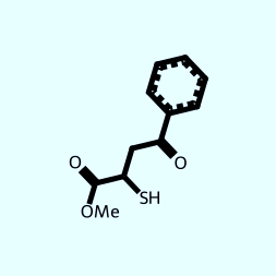 COC(=O)C(S)CC(=O)c1ccccc1